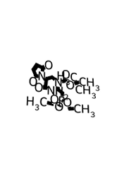 CCOP(=O)(CCN(CC(C(N)=O)N1C(=O)C=CC1=O)C(=O)OC(C)(C)C)OCC